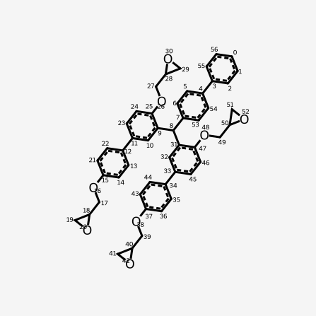 c1ccc(-c2ccc(C(c3cc(-c4ccc(OCC5CO5)cc4)ccc3OCC3CO3)c3cc(-c4ccc(OCC5CO5)cc4)ccc3OCC3CO3)cc2)cc1